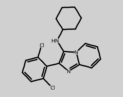 Clc1cccc(Cl)c1-c1nc2ccccn2c1NC1CCCCC1